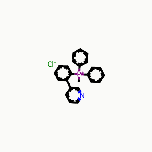 C[P+](c1ccccc1)(c1ccccc1)c1ccccc1-c1cccnc1.[Cl-]